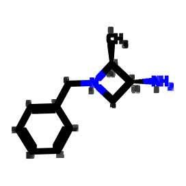 C[C@H]1[C@H](N)CN1Cc1ccccc1